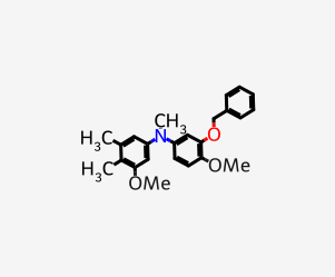 COc1ccc(N(C)c2cc(C)c(C)c(OC)c2)cc1OCc1ccccc1